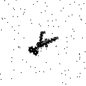 O=C(CCC(NC(=O)OCC1c2ccccc2C2CCC=CC21)C(=O)NCCOCCO)NCCOCCO